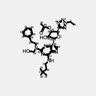 CCn1nnc([C@H]2O[C@@H](n3cnc4c(NCCC(C)(C)C)nc(N(CO)CCc5ccccc5)nc43)[C@H](O)[C@@H]2OC(C)=O)n1